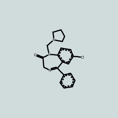 O=C1CN=C(c2ccccc2)c2cc(Cl)ccc2N1CN1CCCC1